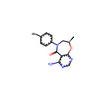 C[C@@H]1CN(c2ccc(C(C)(C)C)cc2)C(=O)c2c(N)ncnc2O1